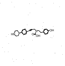 O=C(O)N(CC#Cc1ccc(N2CCNCC2)cc1)CCc1ccc(O)cc1